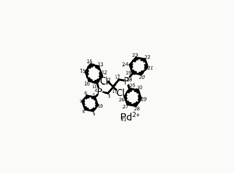 ClC(Cl)(CP(c1ccccc1)c1ccccc1)CP(c1ccccc1)c1ccccc1.[Pd+2]